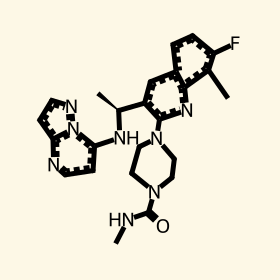 CNC(=O)N1CCN(c2nc3c(C)c(F)ccc3cc2[C@H](C)Nc2ccnc3ccnn23)CC1